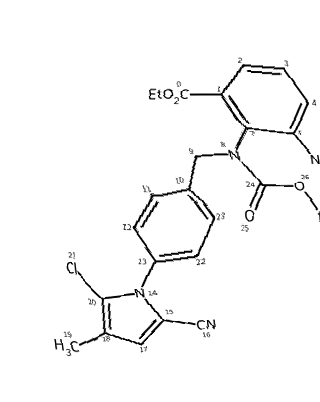 CCOC(=O)c1cccc([N+](=O)[O-])c1N(Cc1ccc(-n2c(C#N)cc(C)c2Cl)cc1)C(=O)OC(C)(C)C